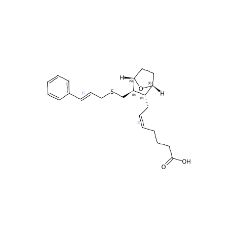 O=C(O)CCC/C=C\C[C@@H]1[C@@H](CSC/C=C/c2ccccc2)[C@@H]2CC[C@H]1O2